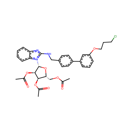 CC(=O)OC[C@H]1O[C@@H](n2c(NCc3ccc(-c4cccc(OCCCCl)c4)cc3)nc3ccccc32)[C@H](OC(C)=O)[C@@H]1OC(C)=O